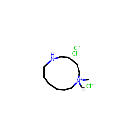 C[N+]1([Ti])CCCCCCNCCCC1.[Cl-].[Cl-].[Cl-]